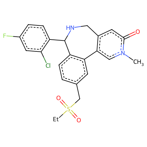 CCS(=O)(=O)Cc1ccc2c(c1)-c1cn(C)c(=O)cc1CNC2c1ccc(F)cc1Cl